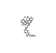 COC(=O)Cc1cccc(OCCCN(Cc2cccc(C(F)(F)F)c2Cl)CC(OC(C)=O)c2ccccc2)c1